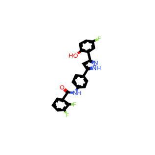 O=C(Nc1ccc(-c2cc(-c3cc(F)ccc3O)n[nH]2)cc1)c1cccc(F)c1F